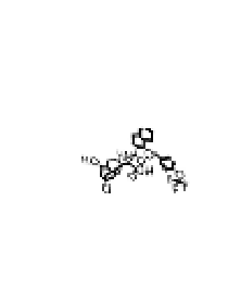 O=C(N[C@H](C(=O)O)C12CCC3C(O)CC(Cl)(CC3C1)C2)c1ccc2ccccc2c1OCc1ccc(OC(F)(F)F)cc1